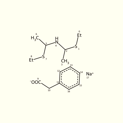 CCSC(C)NC(C)SCC.O=C([O-])Cc1ccccc1.[Na+]